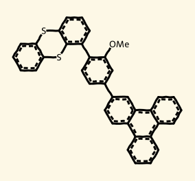 COc1cc(-c2ccc3c4ccccc4c4ccccc4c3c2)ccc1-c1cccc2c1Sc1ccccc1S2